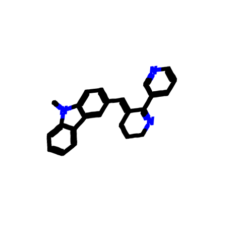 Cn1c2ccccc2c2cc(C=C3CCCN=C3c3cccnc3)ccc21